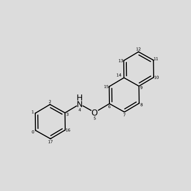 c1ccc(NOc2ccc3ccccc3c2)cc1